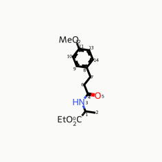 CCOC(=O)C(C)NC(=O)CCc1ccc(OC)cc1